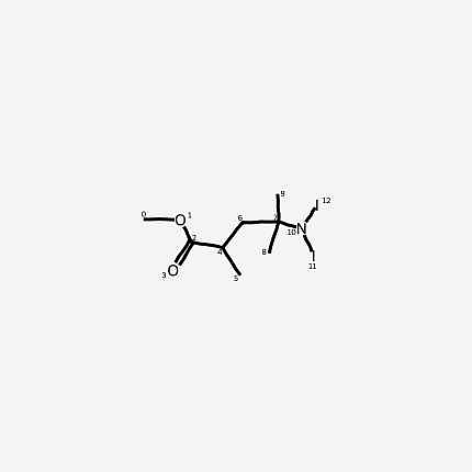 COC(=O)C(C)CC(C)(C)N(I)I